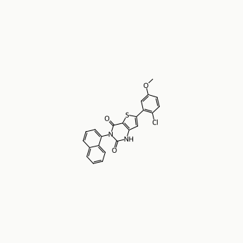 COc1ccc(Cl)c(-c2cc3[nH]c(=O)n(-c4cccc5ccccc45)c(=O)c3s2)c1